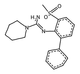 CS(=O)(=O)c1cccc(-c2ccccc2)c1N=C(N)N1CCCCC1